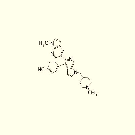 CN1CCC(Cn2ccc3c(-c4ccc(C#N)cc4)c(-c4cnc5c(ccn5C)c4)ncc32)CC1